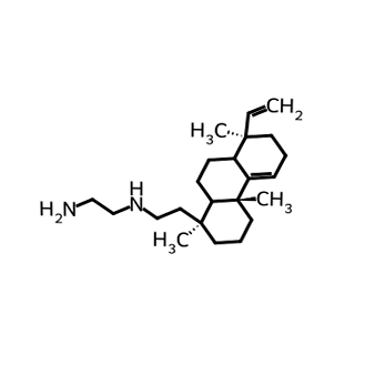 C=C[C@@]1(C)CCC=C2C1CCC1[C@](C)(CCNCCN)CCC[C@@]21C